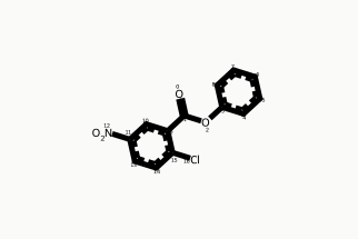 O=C(Oc1ccccc1)c1cc([N+](=O)[O-])ccc1Cl